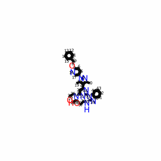 Cc1nn(-c2ccc(OCc3ccccc3)nc2)c(C)c1-c1cc(N2CCOC[C@H]2C)nc(-n2c(NCCO)nc3ccccc32)n1